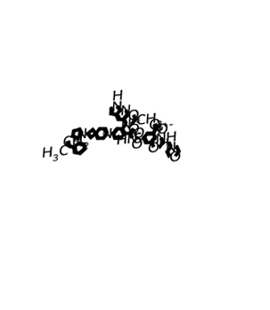 C=C(C)c1ccccc1[C@@H]1CCCN1C1CC2(CCN(c3ccc(C(=O)NS(=O)(=O)c4cc5c(c([N+](=O)[O-])c4)N[C@@H](CN4CCOCC4)CO5)c(N4C[C@@H](C)Oc5nc6[nH]ccc6cc54)c3)CC2)C1